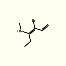 C=C/C(Br)=C(\CC)NC